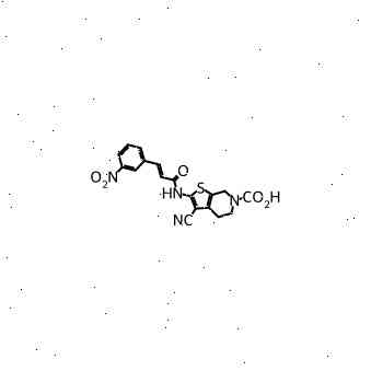 N#Cc1c(NC(=O)C=Cc2cccc([N+](=O)[O-])c2)sc2c1CCN(C(=O)O)C2